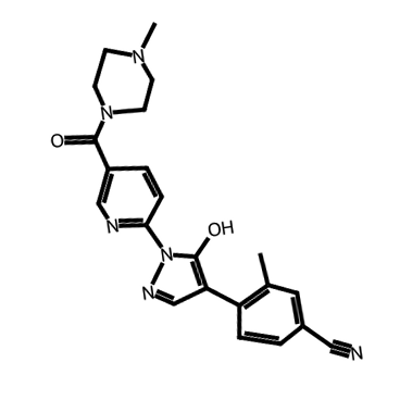 Cc1cc(C#N)ccc1-c1cnn(-c2ccc(C(=O)N3CCN(C)CC3)cn2)c1O